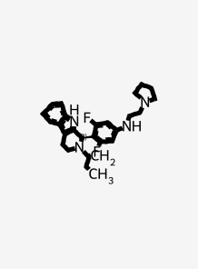 C=C(CC)N1CCc2c([nH]c3ccccc23)[C@H]1c1c(F)cc(NCCN2CCCC2)cc1F